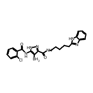 Bc1c(C(=O)NCCCCCc2nc3ccccc3[nH]2)n[nH]c1NC(=O)c1ccccc1Cl